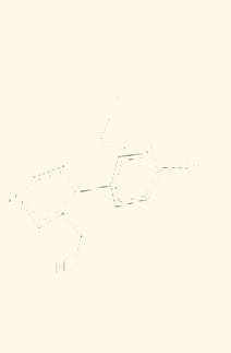 OCc1cnccc1-c1ccc(Br)cc1CO